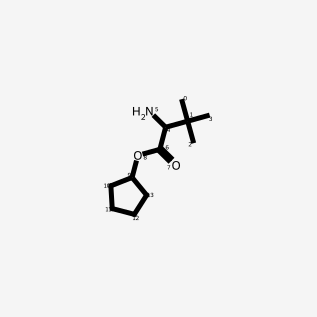 CC(C)(C)C(N)C(=O)OC1CCCC1